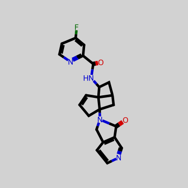 O=C(NC1CC2CC3(N4Cc5ccncc5C4=O)CC=CC213)c1cc(F)ccn1